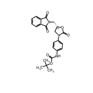 CC(C)(C)OC(=O)Nc1ccc(N2C[C@H](CN3C(=O)c4ccccc4C3=O)OC2=O)cc1